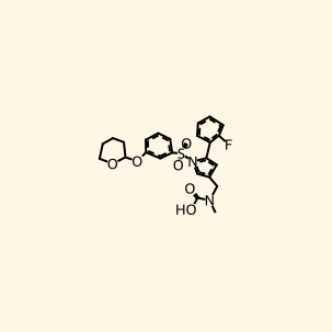 CN(Cc1cc(-c2ccccc2F)n(S(=O)(=O)c2cccc(OC3CCCCO3)c2)c1)C(=O)O